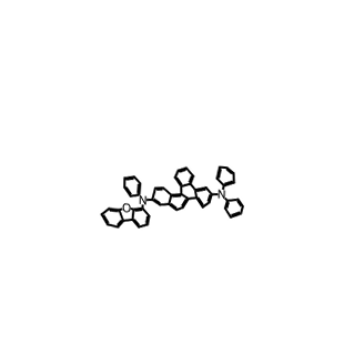 c1ccc(N(c2ccccc2)c2ccc3c(c2)c2ccccc2c2c4ccc(N(c5ccccc5)c5cccc6c5oc5ccccc56)cc4ccc32)cc1